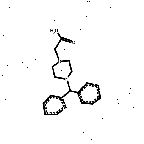 NC(=O)CN1CCN(C(c2ccccc2)c2ccccc2)CC1